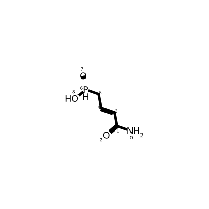 NC(=O)C=CC[PH](=O)O